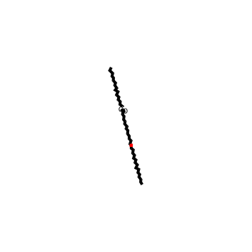 CCCCCCCCCCCCCCCCCCCCCCCCCCCCCCC(=O)OCCCCCCCCCCCCCCCCC